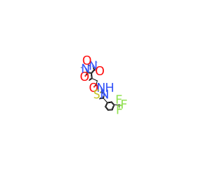 Cn1c(=O)c2c(CC(=O)Nc3nc(-c4cccc(C(F)(F)F)c4)cs3)coc2n(C)c1=O